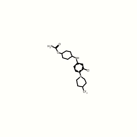 NC(=O)OC1CCC(Nc2ccc(N3CCC(C(F)(F)F)CC3)c(Cl)c2)CC1